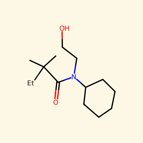 CCC(C)(C)C(=O)N(CCO)C1CCCCC1